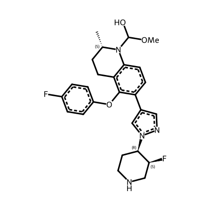 COC(O)N1c2ccc(-c3cnn([C@@H]4CCNC[C@@H]4F)c3)c(Oc3ccc(F)cc3)c2CC[C@@H]1C